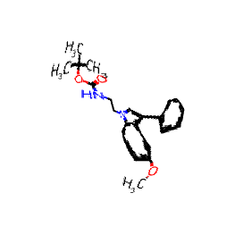 COc1ccc2c(c1)c(-c1ccccc1)cn2CCNC(=O)OC(C)(C)C